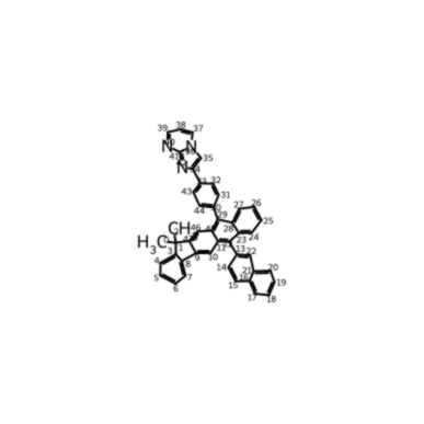 CC1(C)c2ccccc2-c2cc3c(-c4ccc5ccccc5c4)c4ccccc4c(-c4ccc(-c5cn6cccnc6n5)cc4)c3cc21